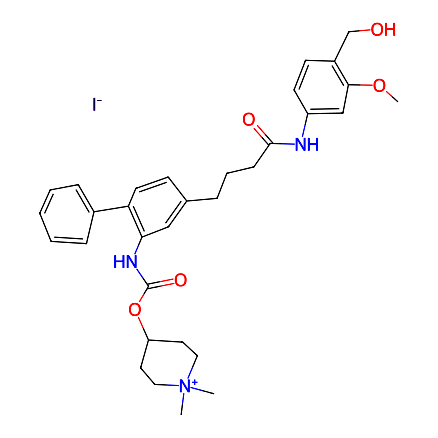 COc1cc(NC(=O)CCCc2ccc(-c3ccccc3)c(NC(=O)OC3CC[N+](C)(C)CC3)c2)ccc1CO.[I-]